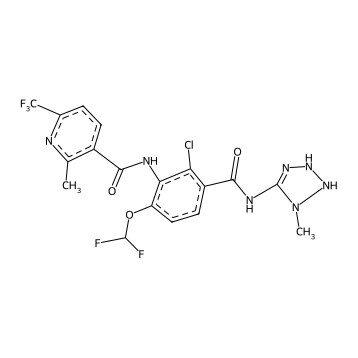 Cc1nc(C(F)(F)F)ccc1C(=O)Nc1c(OC(F)F)ccc(C(=O)NC2=NNNN2C)c1Cl